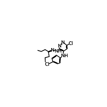 CCCC(CCC)=NNc1nnc(Cl)cc1Nc1ccc(Cl)cc1